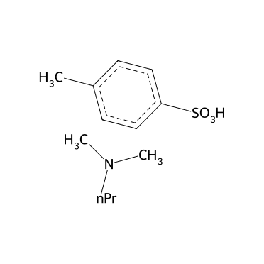 CCCN(C)C.Cc1ccc(S(=O)(=O)O)cc1